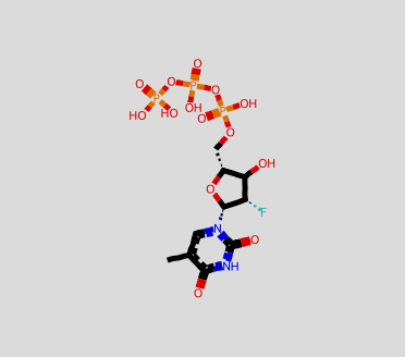 Cc1cn([C@@H]2O[C@H](COP(=O)(O)OP(=O)(O)OP(=O)(O)O)C(O)[C@@H]2F)c(=O)[nH]c1=O